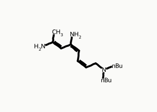 CCCCN(C\C=C/C=C(N)\C=C(/C)N)CCCC